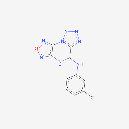 Clc1cccc(NC2Nc3nonc3-n3nnnc32)c1